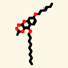 CC/C=C/CCOc1ccc2c(OCCCCCCCCCC)c(OC(C)=O)c(=O)oc2c1